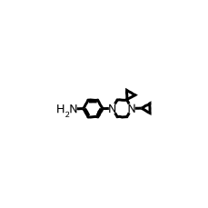 Nc1ccc(N2CCN(C3CC3)C3(CC3)C2)cc1